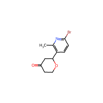 Cc1nc(Br)ccc1C1CC(=O)CCO1